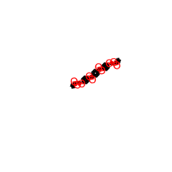 C=C(C)C(=O)OCOc1ccc(OC(=O)C2CCC(C(=O)Oc3ccc(OCOC(=O)C(=C)C)cc3)CC2)cc1